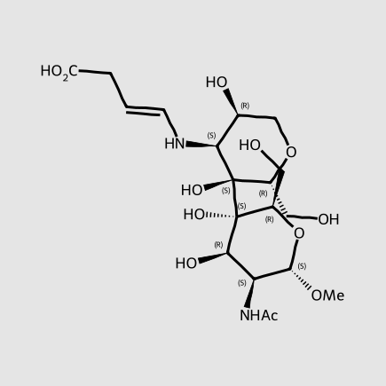 CO[C@H]1O[C@H](CO)[C@](O)([C@@]2(O)[C@@H](CO)OC[C@H](O)[C@@H]2NC=CCC(=O)O)[C@H](O)[C@@H]1NC(C)=O